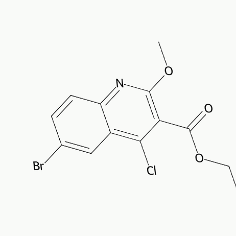 CCOC(=O)c1c(OC)nc2ccc(Br)cc2c1Cl